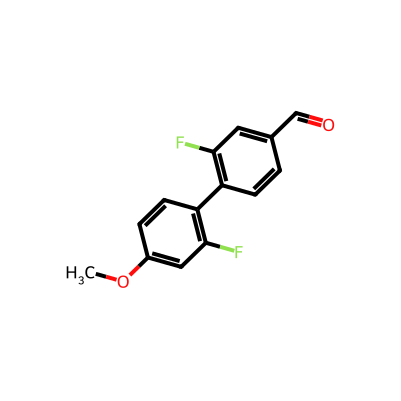 COc1ccc(-c2ccc(C=O)cc2F)c(F)c1